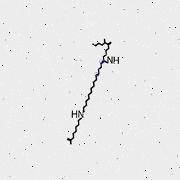 C=C(C)CCCCCCCNCCCCCCCCCCC/C=C/CC/C=C(\C=N)CCCCC(=C)C(C)CCCC